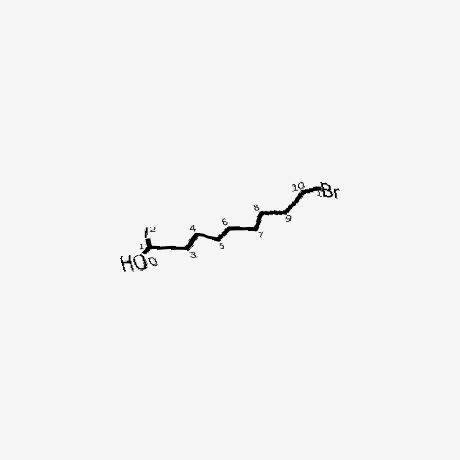 OC(I)CCCCCCCCBr